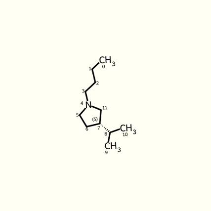 CCCCN1CC[C@@H](C(C)C)C1